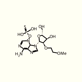 COCCO[C@@H]1[C@H](O)[C@@H](CO)O[C@H]1N1C=NC2=C(N)N=CN(OP(O)(O)=S)C21